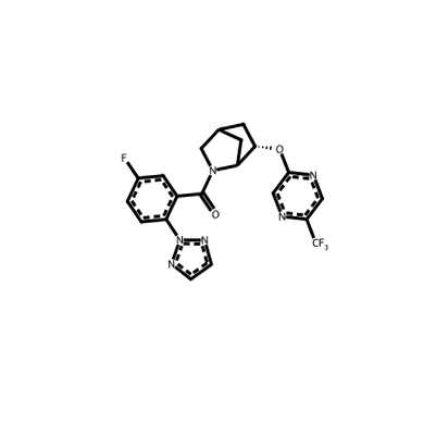 O=C(c1cc(F)ccc1-n1nccn1)N1CC2CC1[C@@H](Oc1cnc(C(F)(F)F)cn1)C2